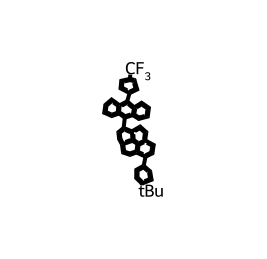 CC(C)(C)c1ccc(-c2ccc3ccc4c(-c5c6ccccc6c(-c6ccc(C(F)(F)F)cc6)c6ccccc56)ccc5ccc2c3c54)cc1